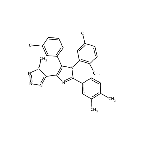 Cc1ccc(-c2nc(-c3nnnn3C)c(-c3cccc(Cl)c3)n2-c2cc(Cl)ccc2C)cc1C